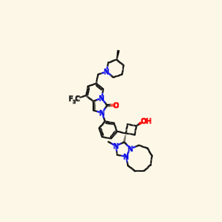 C[C@H]1CCCN(Cc2cc(C(F)(F)F)c3cn(-c4cccc([C@]5(C6N(C)CN7CCCCCCCN67)C[C@H](O)C5)c4)c(=O)n3c2)C1